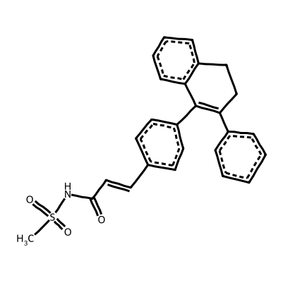 CS(=O)(=O)NC(=O)/C=C/c1ccc(C2=C(c3ccccc3)CCc3ccccc32)cc1